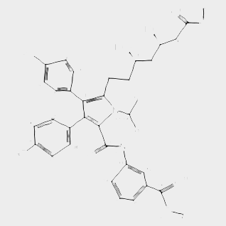 COC(=O)C[C@H](O)C[C@H](O)CCc1c(-c2ccc(F)cc2)c(-c2ccc(F)cc2)c(C(=O)Nc2cccc(C(=O)OC)c2)n1C(C)C